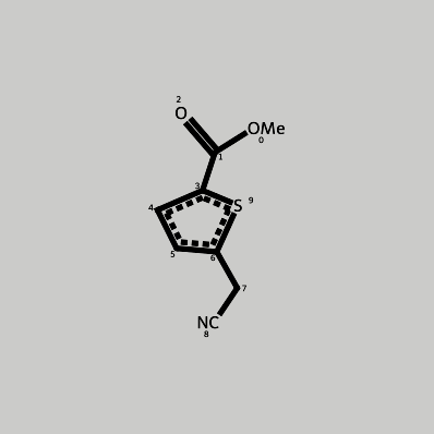 COC(=O)c1ccc(CC#N)s1